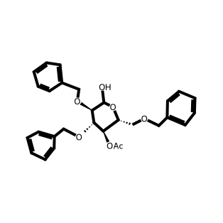 CC(=O)O[C@H]1[C@H](OCc2ccccc2)[C@@H](OCc2ccccc2)C(O)O[C@@H]1COCc1ccccc1